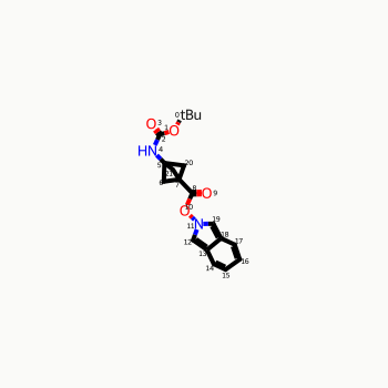 CC(C)(C)OC(=O)NC12CC(C(=O)On3cc4ccccc4c3)(C1)C2